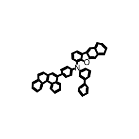 c1ccc(-c2cccc(N(c3ccc(-c4cc5ccc6ccccc6c5c5ccccc45)cc3)c3cccc4c3oc3cc5ccccc5cc34)c2)cc1